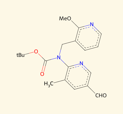 COc1ncccc1CN(C(=O)OC(C)(C)C)c1ncc(C=O)cc1C